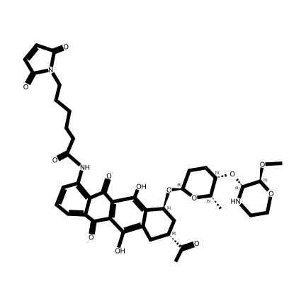 CO[C@H]1OCCN[C@@H]1O[C@H]1CC[C@H](O[C@H]2C[C@H](C(C)=O)Cc3c(O)c4c(c(O)c32)C(=O)c2c(NC(=O)CCCCCN3C(=O)C=CC3=O)cccc2C4=O)O[C@H]1C